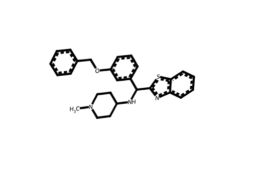 CN1CCC(NC(c2cccc(OCc3ccccc3)c2)c2nc3ccccc3s2)CC1